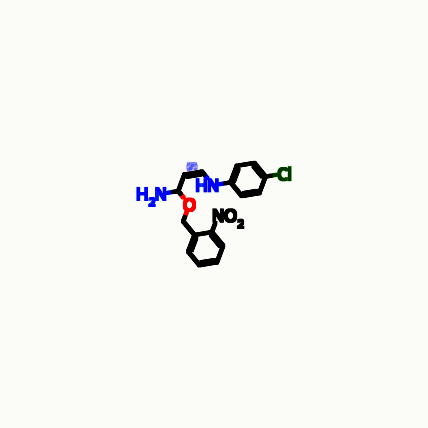 NC(/C=C\Nc1ccc(Cl)cc1)OCc1ccccc1[N+](=O)[O-]